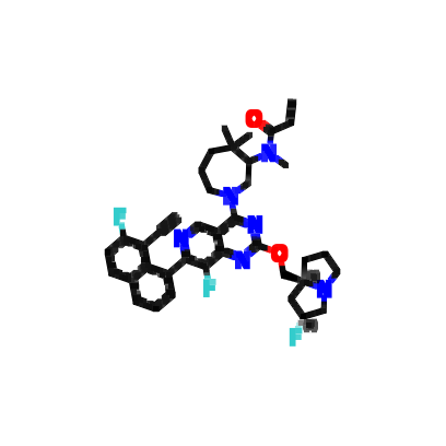 C#Cc1c(F)ccc2cccc(-c3ncc4c(N5CCCC(C)(C)C(N(C)C(=O)C=C)C5)nc(OC[C@@]56CCCN5C[C@H](F)C6)nc4c3F)c12